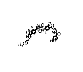 COCCn1cc(-c2ccc(-c3cnc(C(=O)Nc4ccc(C(=O)N5CCN(C(=O)C6CCNCC6)CC5)c(Cl)c4)n3C)c(F)c2F)c(C)n1